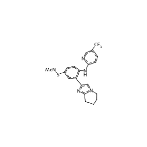 CNSc1ccc(Nc2ccc(C(F)(F)F)cn2)c(-c2cn3c(n2)CCCC3)c1